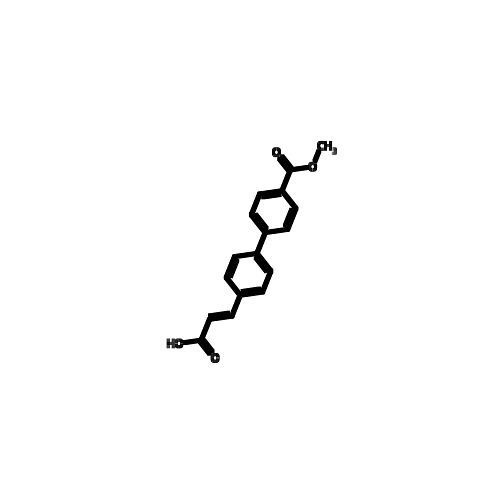 COC(=O)c1ccc(-c2ccc(C=CC(=O)O)cc2)cc1